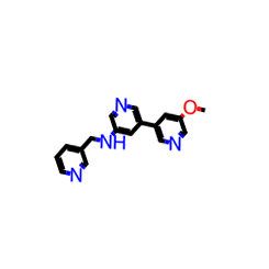 COc1cncc(-c2cncc(NCc3cccnc3)c2)c1